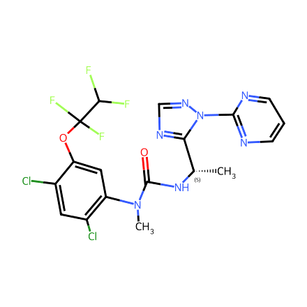 C[C@H](NC(=O)N(C)c1cc(OC(F)(F)C(F)F)c(Cl)cc1Cl)c1ncnn1-c1ncccn1